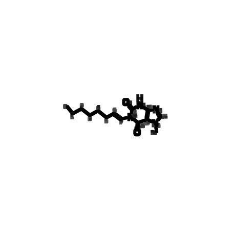 CCCCCCC=Cn1c(=O)[nH]c2ncn(C)c2c1=O